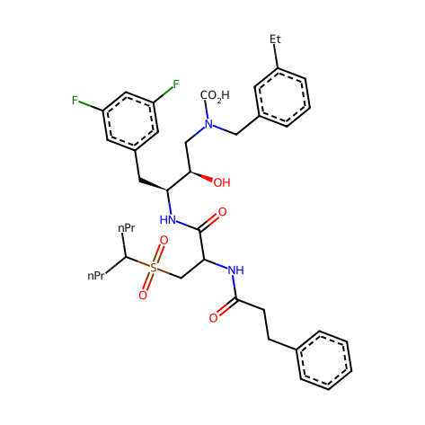 CCCC(CCC)S(=O)(=O)CC(NC(=O)CCc1ccccc1)C(=O)N[C@@H](Cc1cc(F)cc(F)c1)[C@H](O)CN(Cc1cccc(CC)c1)C(=O)O